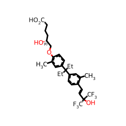 CCC(CC)(c1ccc(C=CC(O)(C(F)(F)F)C(F)(F)F)c(C)c1)c1ccc(OC[C@H](O)CCCC(=O)O)c(C)c1